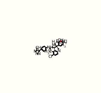 Cc1c(Cl)cccc1[C@H]1[C@H](C(=O)Nc2ccc(-c3nnnn3C)cc2)N[C@@H](CC(C)(C)C)[C@]1(C#N)c1ccc(Cl)cc1F